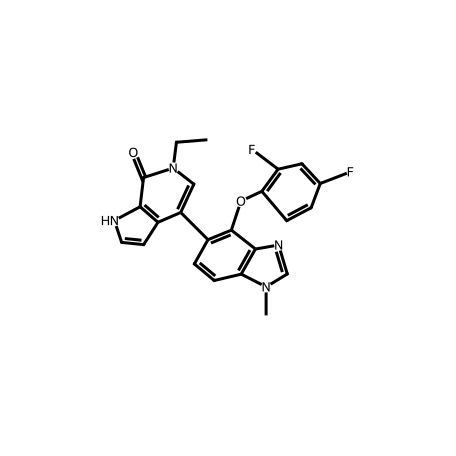 CCn1cc(-c2ccc3c(ncn3C)c2Oc2ccc(F)cc2F)c2cc[nH]c2c1=O